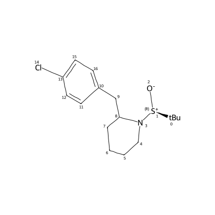 CC(C)(C)[S@+]([O-])N1CCCCC1Cc1ccc(Cl)cc1